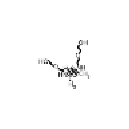 C[Si](C)(NCCOCCO)O[Si](C)(C)NCCOCCO